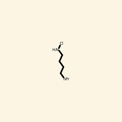 CCCCCC[CH2][AlH][Cl]